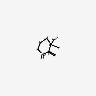 C=C1NCCCC1(C)C(C)C